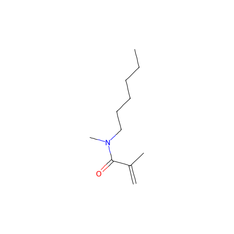 C=C(C)C(=O)N(C)CCCCCC